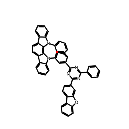 c1ccc(-c2nc(-c3cccc(-n4c5ccccc5c5ccc6c7ccccc7n(-c7ccccc7)c6c54)c3)nc(-c3ccc4c(c3)oc3ccccc34)n2)cc1